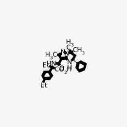 CCc1ccc(C(CC)(NC(=O)c2c(C)nn3c2N[C@@H](c2ccccc2)CC3(C)C)C(=O)O)cc1